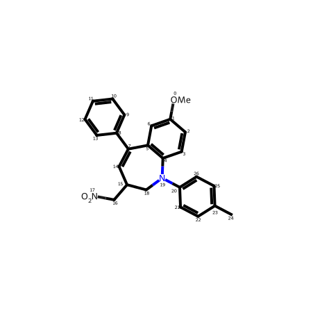 COc1ccc2c(c1)C(c1ccccc1)=CC(C[N+](=O)[O-])CN2c1ccc(C)cc1